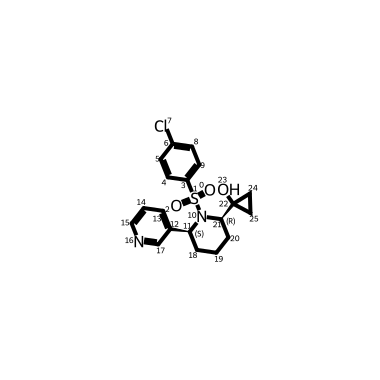 O=S(=O)(c1ccc(Cl)cc1)N1[C@H](c2cccnc2)CCC[C@@H]1C1(O)CC1